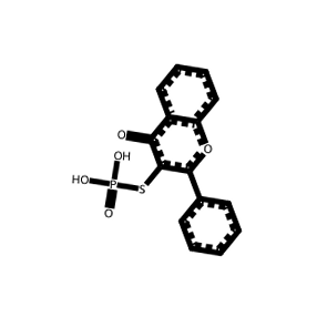 O=c1c(SP(=O)(O)O)c(-c2ccccc2)oc2ccccc12